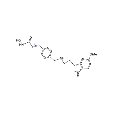 COc1ccc2[nH]cc(CCNCc3ccc(/C=C/C(=O)NO)cc3)c2c1